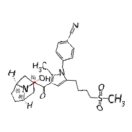 Cc1c(C(=O)CN2[C@@H]3CC[C@H]2C[C@H](O)C3)cc(CCCCS(C)(=O)=O)n1-c1ccc(C#N)cc1